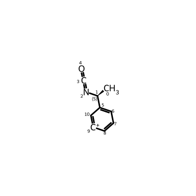 C[C@H](N=C=O)C1=CC=C[C+]=C1